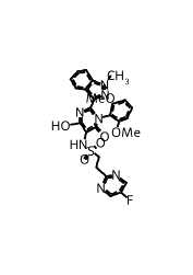 COc1cccc(OC)c1-n1c(-c2nn(C)c3ccccc23)nc(O)c(NS(=O)(=O)CCc2ncc(F)cn2)c1=O